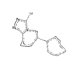 Sc1nnc2ccc(-c3ccccc3)nn12